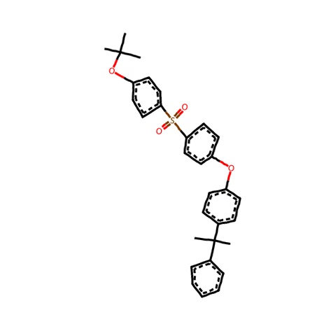 CC(C)(C)Oc1ccc(S(=O)(=O)c2ccc(Oc3ccc(C(C)(C)c4ccccc4)cc3)cc2)cc1